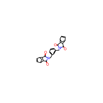 O=C1C2C3C=CC(C3)C2C(=O)N1Cc1cccc(CN2C(=O)C3C4C=CC(C4)C3C2=O)c1